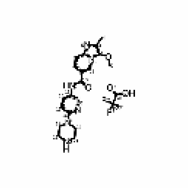 COc1c(C)nc2ccc(C(=O)Nc3ccc(N4CCNCC4)nn3)cn12.O=C(O)C(F)(F)F